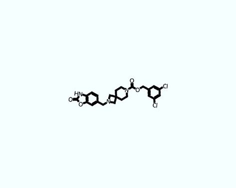 O=C(OCc1cc(Cl)cc(Cl)c1)N1CCC2(CC1)CN(Cc1ccc3[nH]c(=O)oc3c1)C2